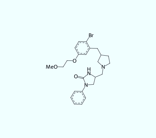 COCCOc1ccc(Br)c(CC2CCN(CC3CN(c4ccccc4)C(=O)N3)C2)c1